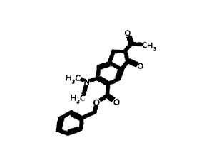 CC(=O)C1Cc2cc(N(C)C)c(C(=O)OCc3ccccc3)cc2C1=O